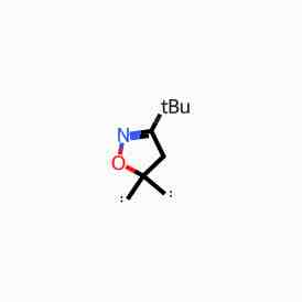 [CH]C1([CH])CC(C(C)(C)C)=NO1